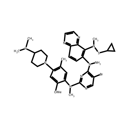 COc1cc(N2CCC(N(C)C)CC2)c(C)cc1N(C)c1ncc(Br)c(N(N)c2ccc3nccnc3c2N(C)SC2CC2)n1